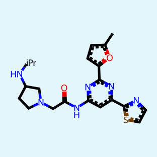 Cc1ccc(-c2nc(NC(=O)CN3CCC(NC(C)C)C3)cc(-c3nccs3)n2)o1